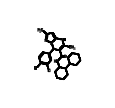 CC1=C(C(=O)NC2CCCCC2C2CCCCC2)C(c2ccc(Cl)c(Cl)c2)n2nc(C(F)(F)F)cc2N1